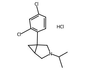 CC(C)N1CC2CC2(c2ccc(Cl)cc2Cl)C1.Cl